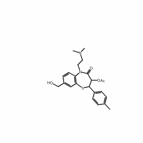 CC(=O)OC1C(=O)N(CCN(C)C)c2ccc(CO)cc2SC1c1ccc(C)cc1